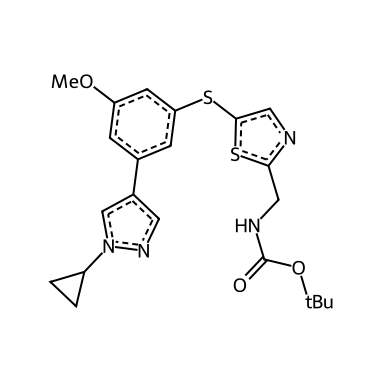 COc1cc(Sc2cnc(CNC(=O)OC(C)(C)C)s2)cc(-c2cnn(C3CC3)c2)c1